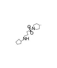 O=S(=O)(CCCNC1CCCC1)N1CC[CH]CC1